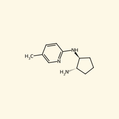 Cc1ccc(N[C@H]2CCC[C@@H]2N)nc1